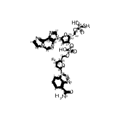 NC(=O)c1cccc2c1nnn2[C@H]1C[C@H](F)[C@@H](COP(=O)(O)O[C@H]2C[C@H](n3cnc4c3ncn3ccnc43)O[C@@H]2COP(=O)(O)S)O1